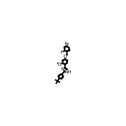 COc1cc(OCc2ccc(Br)cc2F)ccc1-c1c[nH]c(-c2ccc(C(C)(C)C)cc2)n1